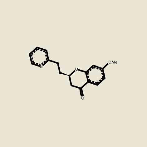 COc1ccc2c(c1)O[C@H](CCc1ccccn1)CC2=O